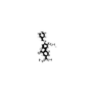 COc1cc2c(cc1OCc1ccncc1)oc(=O)c1cc(C(C)O)ccc12